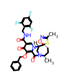 CC1=NO[C@@]2(CC[C@H](C)N3C[C@H]2n2cc(C(=O)NCc4c(F)cc(F)cc4F)c(=O)c(OCc4ccccc4)c2C3=O)S1